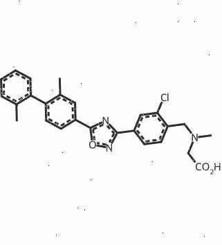 Cc1ccccc1-c1ccc(-c2nc(-c3ccc(CN(C)CC(=O)O)c(Cl)c3)no2)cc1C